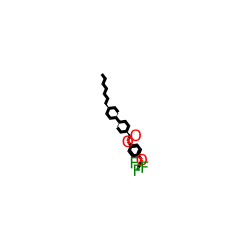 CCCCCCC[C@H]1CC[C@H]([C@H]2CC[C@H](C(=O)Oc3ccc(OC(F)(F)F)cc3)CC2)CC1